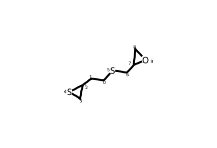 C(C[C]1CS1)SCC1CO1